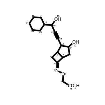 O=C(O)CO/N=C1/CC2C1CC(O)C2C#CC(O)C1CCCCC1